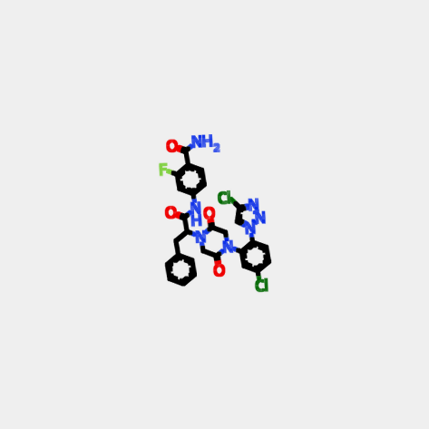 NC(=O)c1ccc(NC(=O)C(Cc2ccccc2)N2CC(=O)N(c3cc(Cl)ccc3-n3cc(Cl)nn3)CC2=O)cc1F